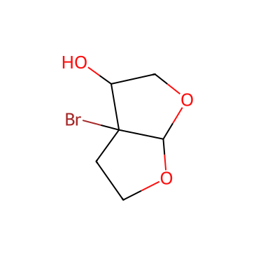 OC1COC2OCCC12Br